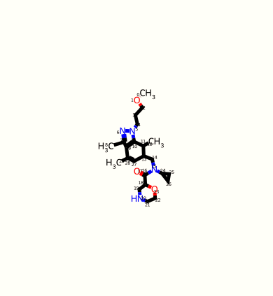 COCCCn1nc(C)c2c1C(C)C(CN(C(=O)C1CNCCO1)C1CC1)C=C2C